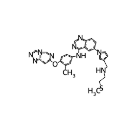 CSCCNCc1ccn(-c2ccc3ncnc(Nc4ccc(Oc5cc6nncn6cn5)c(C)c4)c3c2)c1